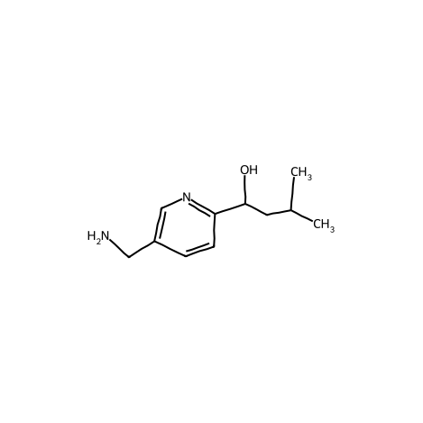 CC(C)CC(O)c1ccc(CN)cn1